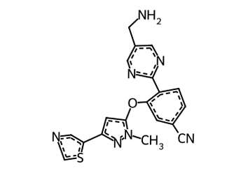 Cn1nc(-c2cncs2)cc1Oc1cc(C#N)ccc1-c1ncc(CN)cn1